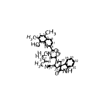 Cc1cc(C)c2ccc(C(=O)N(C)[C@@H](CC(C)C)C(=O)N3C[C@]4(C[C@H]3C#N)C(=O)Nc3ccccc34)nc2c1O